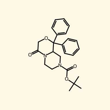 CC(C)(C)OC(=O)N1CCN2C(=O)COC(c3ccccc3)(c3ccccc3)C2C1